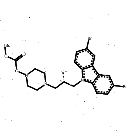 CC(C)(C)OC(=O)ON1CCN(C[C@H](O)Cn2c3ccc(Br)cc3c3cc(Br)ccc32)CC1